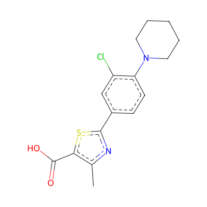 Cc1nc(-c2ccc(N3CCCCC3)c(Cl)c2)sc1C(=O)O